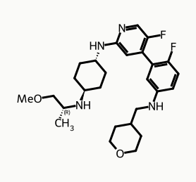 COC[C@@H](C)N[C@H]1CC[C@H](Nc2cc(-c3cc(NCC4CCOCC4)ccc3F)c(F)cn2)CC1